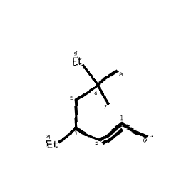 [CH2]C=CC(CC)CC(C)(C)C[CH2]